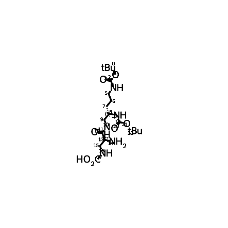 CC(C)(C)OC(=O)NCCC[C@@H](CNC(=O)[C@@H](N)CNC(=O)O)NC(=O)OC(C)(C)C